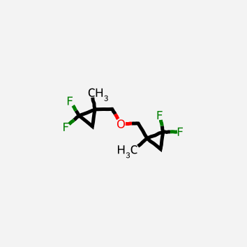 CC1(COCC2(C)CC2(F)F)CC1(F)F